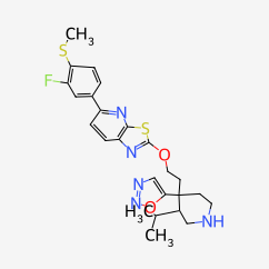 CSc1ccc(-c2ccc3nc(OCCC4(c5cnno5)CCNCC4C(C)C)sc3n2)cc1F